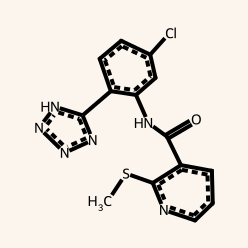 CSc1ncccc1C(=O)Nc1cc(Cl)ccc1-c1nnn[nH]1